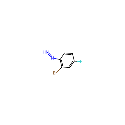 N=Nc1ccc(F)cc1Br